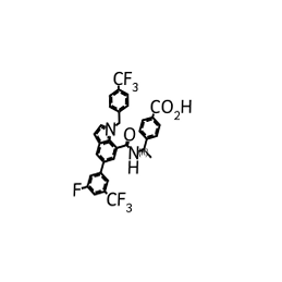 C[C@@H](NC(=O)c1cc(-c2cc(F)cc(C(F)(F)F)c2)cc2ccn(Cc3ccc(C(F)(F)F)cc3)c12)c1ccc(C(=O)O)cc1